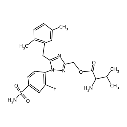 Cc1ccc(C)c(Cc2nc(COC(=O)C(N)C(C)C)nn2-c2ccc(S(N)(=O)=O)cc2F)c1